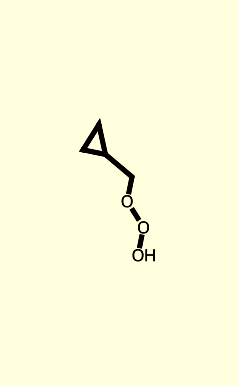 OOOCC1CC1